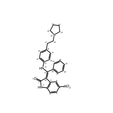 O=C1Nc2ccc([N+](=O)[O-])cc2/C1=C(/Nc1ccc(CCN2CCCC2)cc1)c1ccccc1